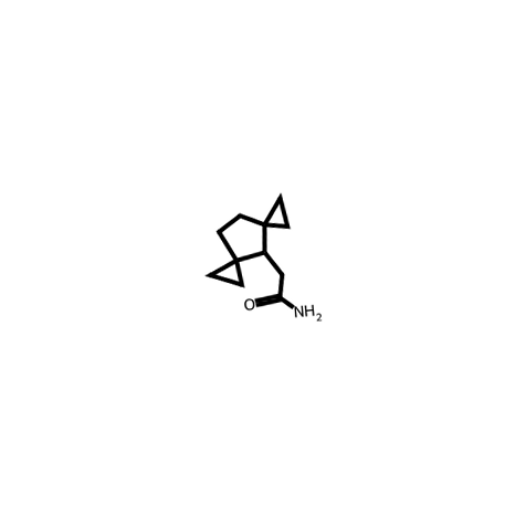 NC(=O)CC1C2(CC2)CCC12CC2